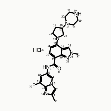 Cc1cn2cc(NC(=O)c3ccc(N4CC[C@@H](N5CCNCC5)C4)c4cn(C)nc34)cc(F)c2n1.Cl